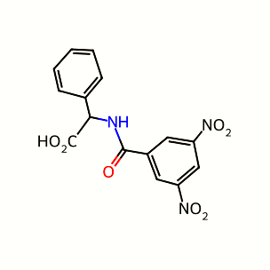 O=C(NC(C(=O)O)c1ccccc1)c1cc([N+](=O)[O-])cc([N+](=O)[O-])c1